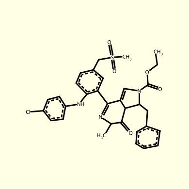 CCOC(=O)N1C=C2C(c3cc(CS(C)(=O)=O)ccc3Nc3ccc(Cl)cc3)=NC(C)C(=O)C2C1Cc1ccccc1